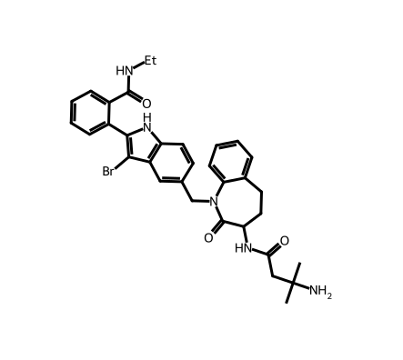 CCNC(=O)c1ccccc1-c1[nH]c2ccc(CN3C(=O)C(NC(=O)CC(C)(C)N)CCc4ccccc43)cc2c1Br